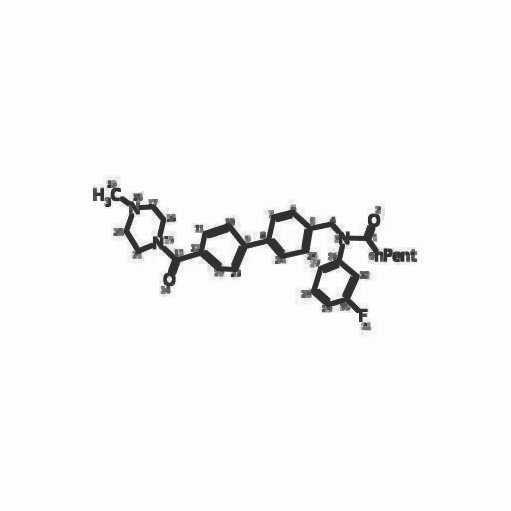 CCCCCC(=O)N(Cc1ccc(-c2ccc(C(=O)N3CCN(C)CC3)cc2)cc1)c1cccc(F)c1